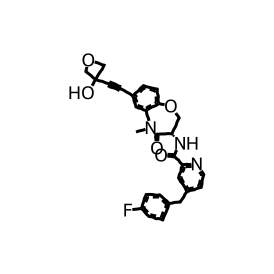 CN1C(=O)[C@@H](NC(=O)c2cc(Cc3ccc(F)cc3)ccn2)COc2ccc(C#CC3(O)COC3)cc21